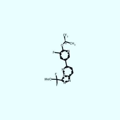 COC(F)(F)c1nnc2ccc(-c3cnc(O[C@H](C)C(F)(F)F)c(F)c3)nn12